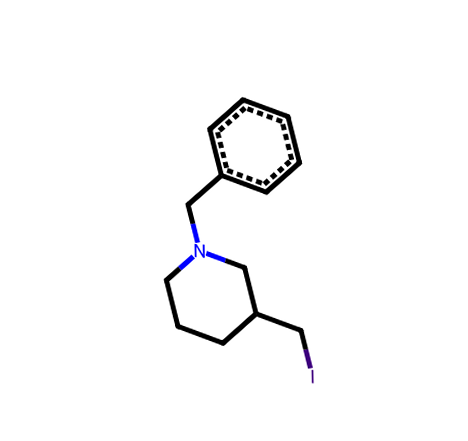 ICC1CCCN(Cc2ccccc2)C1